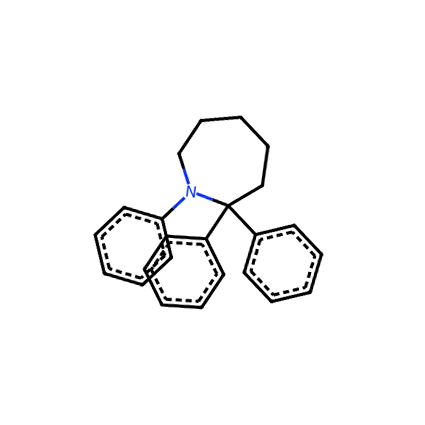 c1ccc(N2CCCCCC2(c2ccccc2)c2ccccc2)cc1